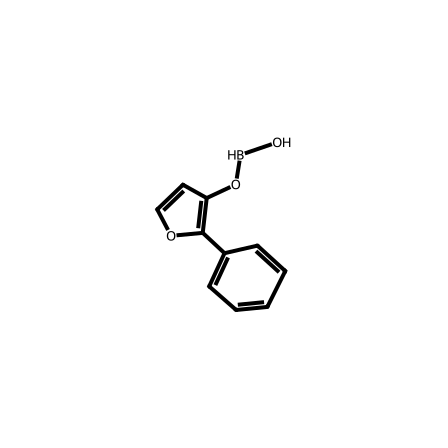 OBOc1ccoc1-c1ccccc1